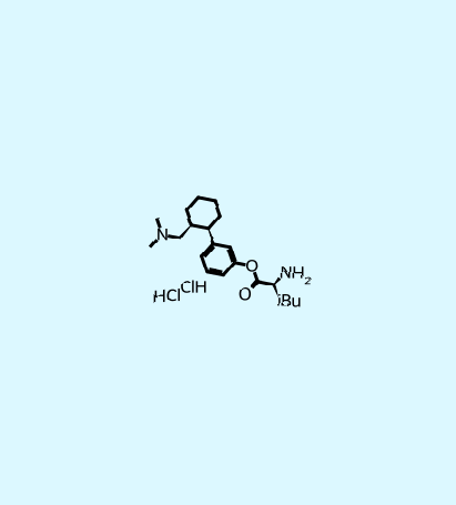 CC[C@H](C)[C@H](N)C(=O)Oc1cccc([C@@H]2CCCC[C@@H]2CN(C)C)c1.Cl.Cl